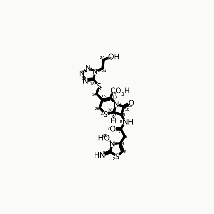 N=c1scc(CC(=O)NC2C(=O)N3C(C(=O)O)=C(CSc4nnnn4CCO)CS[C@H]23)n1O